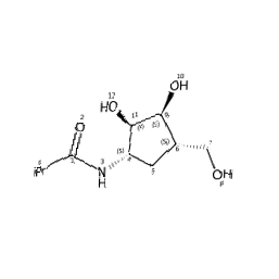 CC(C)C(=O)N[C@H]1C[C@@H](CO)[C@H](O)[C@@H]1O